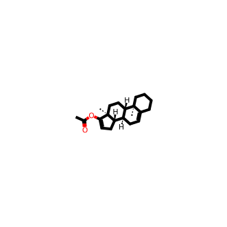 CC(=O)OC1=CC[C@H]2[C@@H]3CC=C4CCCC[C@]4(C)[C@H]3CC[C@]12C